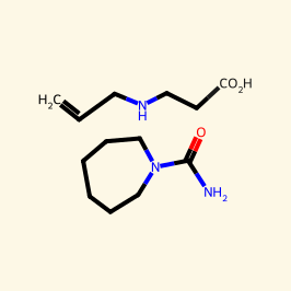 C=CCNCCC(=O)O.NC(=O)N1CCCCCC1